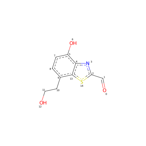 O=Cc1nc2c(O)ccc(CCO)c2s1